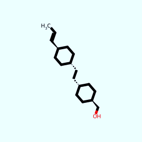 C/C=C/[C@H]1CC[C@H](CC[C@H]2CC[C@H](CO)CC2)CC1